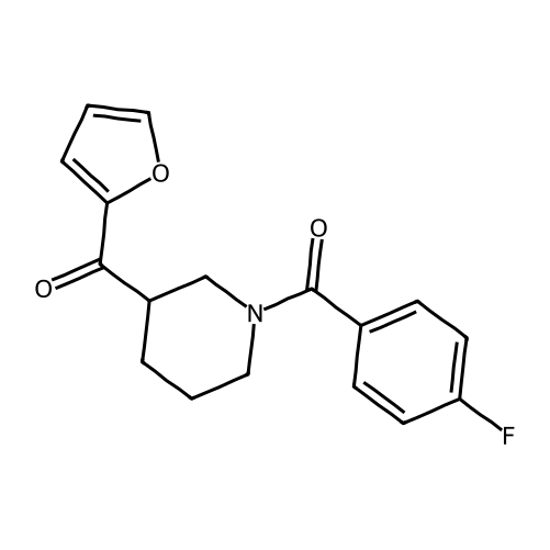 O=C(c1ccco1)C1CCCN(C(=O)c2ccc(F)cc2)C1